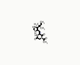 C=CC(C)(C)C1=C(/C=C2\NC(=O)CN(C(C)=O)C2=O)NCN1